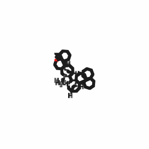 C[P@@]1CC2CCCC34CCCCCC35CCCC[C@@H]4C2CC[C@H](CC5)[C@@H]1[C@H]1C2CCCC34CCCCCC35CCCC[C@@H]4C2CC[C@H](CC5)C[P@]1C